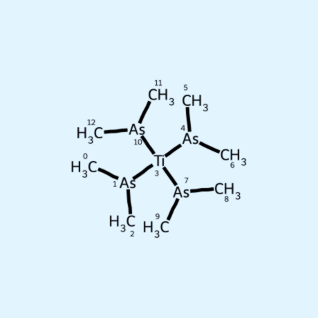 C[As](C)[Ti]([As](C)C)([As](C)C)[As](C)C